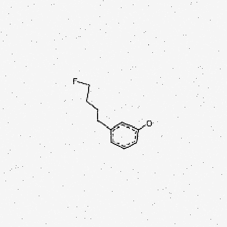 [O]c1cccc(CCCCF)c1